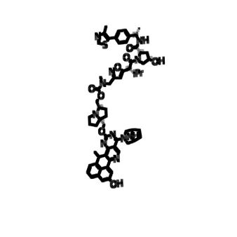 Cc1ncsc1-c1ccc([C@H](C)NC(=O)[C@@H]2C[C@@H](O)CN2C(=O)[C@@H](c2cc(CN(C)C(=O)OC[C@H]3CC[C@@]4(COc5nc(N6CC7CCC(C6)N7)c6cnc7c(c6n5)C(C)c5cccc6cc(O)cc-7c56)CCCN34)no2)C(C)C)cc1